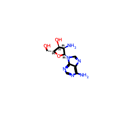 Nc1ncnc2c1ncn2[C@@H]1O[C@H](CO)[C@@H](O)[C@H]1N